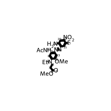 CCN(CCC(=O)OC)c1cc(NC(C)=O)c(/N=N/c2cc(F)c([N+](=O)[O-])cc2N)cc1OC